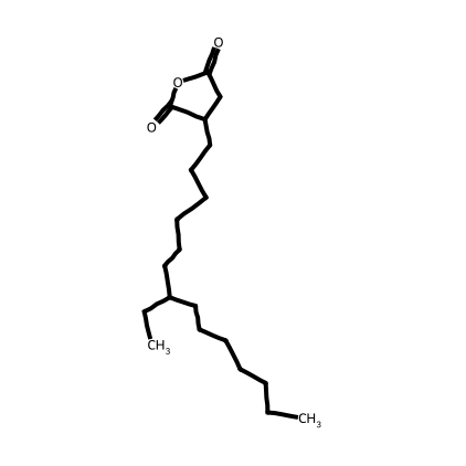 CCCCCCCC(CC)CCCCCCC1CC(=O)OC1=O